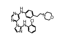 Clc1ccccc1Nc1nccn1-c1cc(Nc2ccc(CCN3CCOCC3)cc2)ncn1